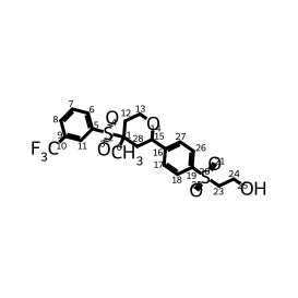 CC1(S(=O)(=O)c2cccc(C(F)(F)F)c2)CCOC(c2ccc(S(=O)(=O)CCO)cc2)C1